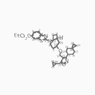 CCOC(=O)c1ccc2nc(N3C4CC(OCc5c(C6CCC7(CC6)CC7)noc5C5CC5)C[C@@H]5CCC453)sc2c1